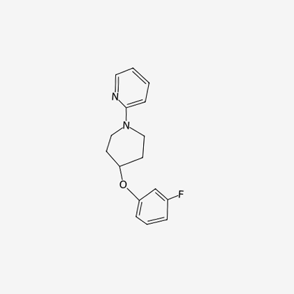 Fc1cccc(OC2CCN(c3ccccn3)CC2)c1